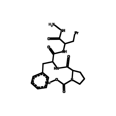 CC(C)CC(NC(=O)C(Cc1ccccc1)NC(=O)C1CCCN1C(=O)OC(C)(C)C)C(=O)NN